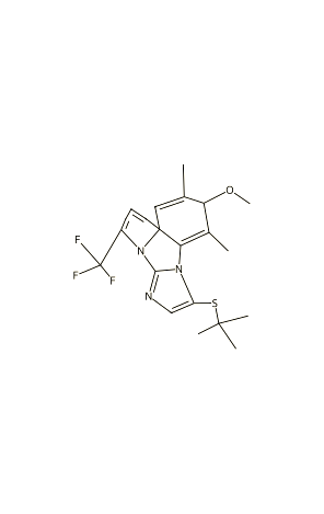 COC1C(C)=CC23C=CC=C(C(F)(F)F)N2c2ncc(SC(C)(C)C)n2C3=C1C